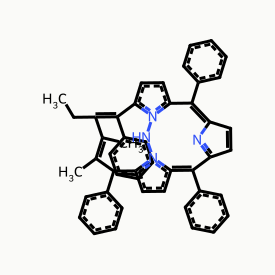 CCC1=C(\c2ccccc2)c2ccc3n2Nn2/c(cc/c2=C(c2ccccc2)/C(C)=C/1C)=C(/c1ccccc1)C1=N/C(=C\3c2ccccc2)C=C1